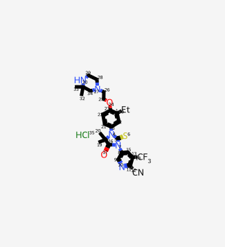 CCc1cc(N2C(=S)N(c3cnc(C#N)c(C(F)(F)F)c3)C(=O)C2(C)C)ccc1OCCN1CCNC(C)(C)C1.Cl